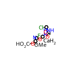 COc1cc2c(Oc3ccc(NC(=O)C4(C(=O)Nc5cccc(Cl)c5)CC4)cc3F)ccnc2cc1OCCC(=O)O.[CaH2]